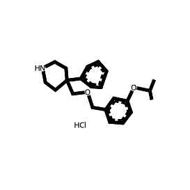 CC(C)Oc1cccc(COCC2(c3ccccc3)CCNCC2)c1.Cl